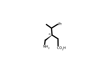 CC(C)C(C)[C@H](CN)CC(=O)O